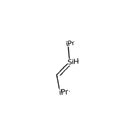 C[C](C)C=[SiH]C(C)C